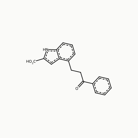 O=C(CCc1cccc2[nH]c(C(=O)O)cc12)c1ccccc1